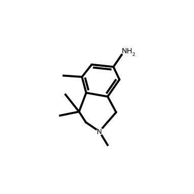 Cc1cc(N)cc2c1C(C)(C)CN(C)C2